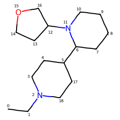 CCN1CCC(C2C[CH]CCN2C2CCOC2)CC1